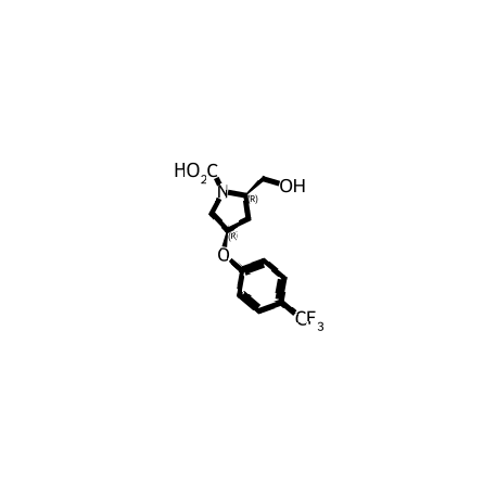 O=C(O)N1C[C@H](Oc2ccc(C(F)(F)F)cc2)C[C@@H]1CO